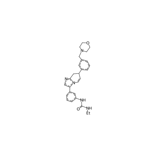 CCNC(=O)Nc1cccc(-c2cnc3n2C=CC(c2cccc(CN4CCOCC4)c2)C3)c1